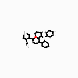 N#Cc1ccncc1-c1ccc(-c2ccccc2N2c3ccccc3Oc3ccccc32)cc1